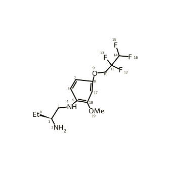 CC[C@H](N)CNc1ccc(OCC(F)(F)C(F)F)cc1OC